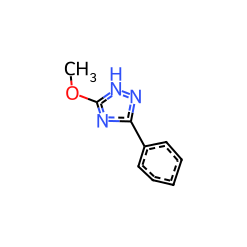 COc1nc(-c2ccccc2)n[nH]1